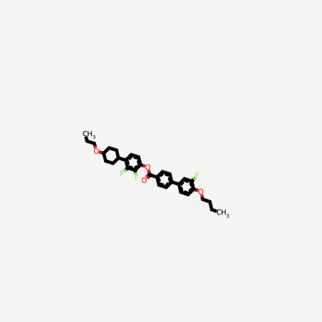 CCCCOc1ccc(-c2ccc(C(=O)Oc3ccc(C4CCC(OCCC)CC4)c(F)c3F)cc2)cc1F